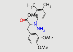 COC(=O)C(Cc1ccc(OC)c(OC)c1)N(N)c1ccc(C)c(C)c1